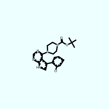 CC(C)(C)OC(=O)N1CCN(c2ncnc3[nH]cc(-c4ccccc4Cl)c23)CC1